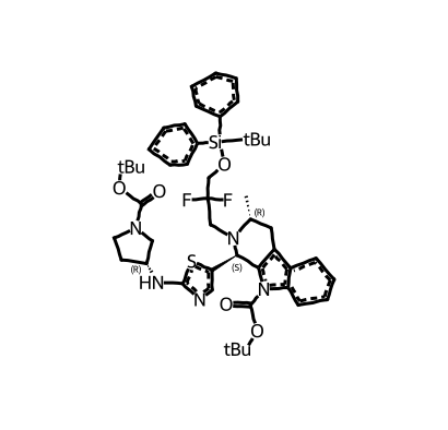 C[C@@H]1Cc2c(n(C(=O)OC(C)(C)C)c3ccccc23)[C@@H](c2cnc(N[C@@H]3CCN(C(=O)OC(C)(C)C)C3)s2)N1CC(F)(F)CO[Si](c1ccccc1)(c1ccccc1)C(C)(C)C